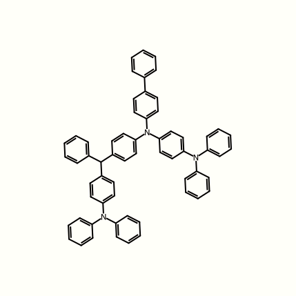 c1ccc(-c2ccc(N(c3ccc(C(c4ccccc4)c4ccc(N(c5ccccc5)c5ccccc5)cc4)cc3)c3ccc(N(c4ccccc4)c4ccccc4)cc3)cc2)cc1